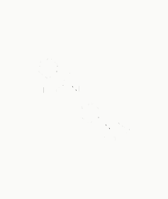 CCCN1C(=O)CCc2cc(CNS(=O)(=O)c3ccccc3F)ccc21